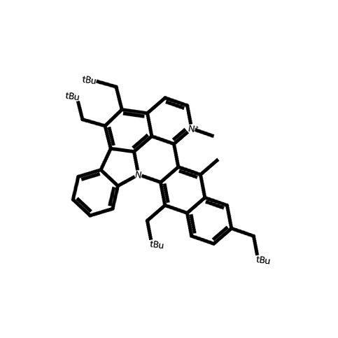 Cc1c2cc(CC(C)(C)C)ccc2c(CC(C)(C)C)c2c1c1c3c(cc[n+]1C)c(CC(C)(C)C)c(CC(C)(C)C)c1c4ccccc4n2c13